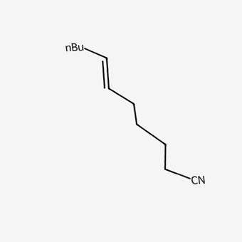 CCCCC=CCCCCC#N